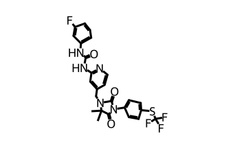 CC1(C)C(=O)N(c2ccc(SC(F)(F)F)cc2)C(=O)N1Cc1ccnc(NC(=O)Nc2cccc(F)c2)c1